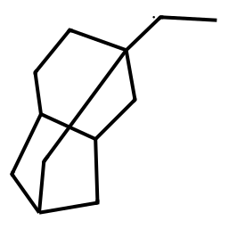 C[CH]C12CCC3CC(CC3C1)C2